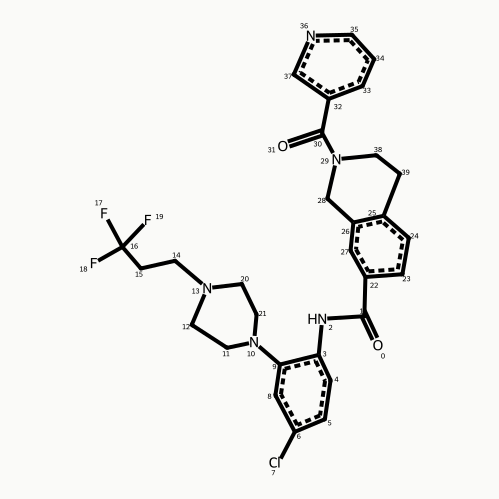 O=C(Nc1ccc(Cl)cc1N1CCN(CCC(F)(F)F)CC1)c1ccc2c(c1)CN(C(=O)c1cccnc1)CC2